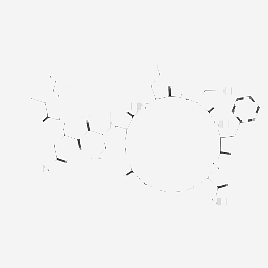 C[C@@H](O)[C@H](NN)C(=O)NC(CC(N)=O)C(=O)C(=O)[C@H](CO)NC1CCC(=O)NCCCCC(C(N)=O)NC(=O)C(Cc2ccccc2)NC(=O)[C@H](CO)NC(=O)C(CCC(=O)O)NC1=O